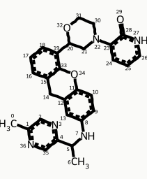 Cc1cnc(C(C)Nc2ccc3c(c2)Cc2cccc(C4CN(c5ccc[nH]c5=O)CCO4)c2O3)cn1